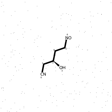 N#CC[C@H](O)CCN=O